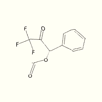 O=[C]OC(C(=O)C(F)(F)F)c1ccccc1